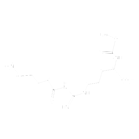 CC(C)(C)OC(=O)NC(CCCNC(=N)NC(=O)CCCO[N+](=O)[O-])C(=O)O